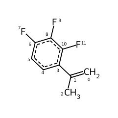 C=C(C)c1ccc(F)c(F)c1F